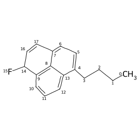 CCCCc1ccc2c3c(cccc13)C(F)C=C2